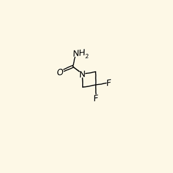 NC(=O)N1CC(F)(F)C1